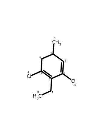 CCC1=C(Cl)CC(C)C=C1Cl